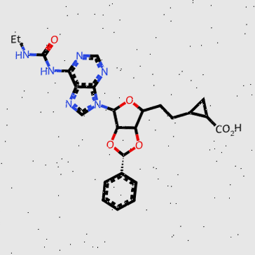 CCNC(=O)Nc1ncnc2c1ncn2C1OC(CCC2CC2C(=O)O)C2O[C@H](c3ccccc3)OC21